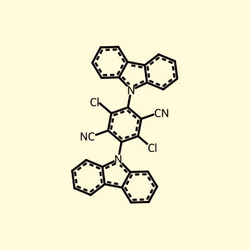 N#Cc1c(Cl)c(-n2c3ccccc3c3ccccc32)c(C#N)c(Cl)c1-n1c2ccccc2c2ccccc21